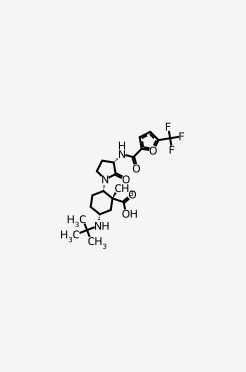 CC(C)(C)N[C@@H]1CC[C@H](N2CC[C@H](NC(=O)c3ccc(C(F)(F)F)o3)C2=O)[C@](C)(C(=O)O)C1